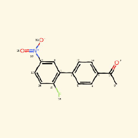 CC(=O)c1ccc(-c2cc([N+](=O)[O-])ccc2F)cc1